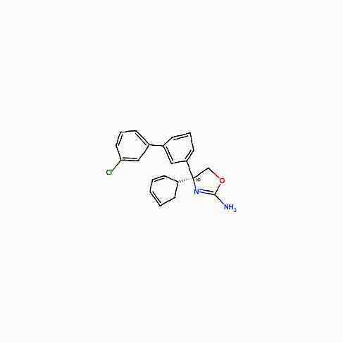 NC1=N[C@](c2cccc(-c3cccc(Cl)c3)c2)(C2C=CC=CC2)CO1